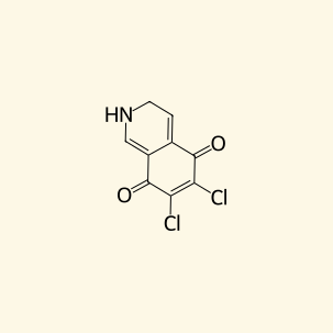 O=C1C2=CCNC=C2C(=O)C(Cl)=C1Cl